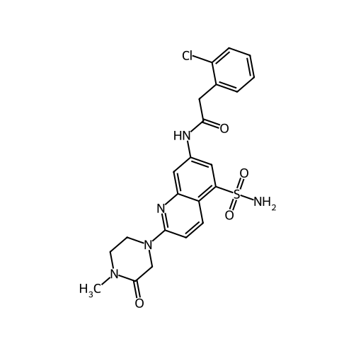 CN1CCN(c2ccc3c(S(N)(=O)=O)cc(NC(=O)Cc4ccccc4Cl)cc3n2)CC1=O